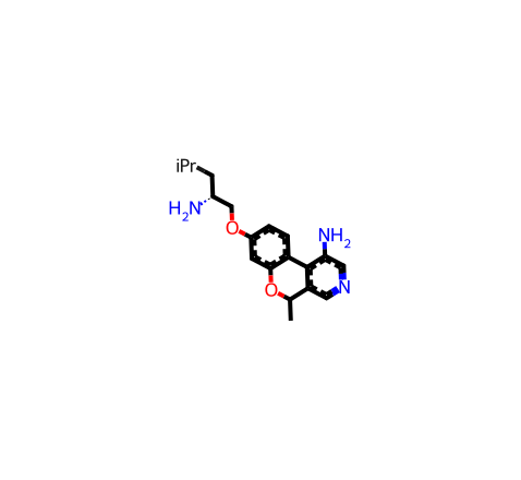 CC(C)C[C@@H](N)COc1ccc2c(c1)OC(C)c1cncc(N)c1-2